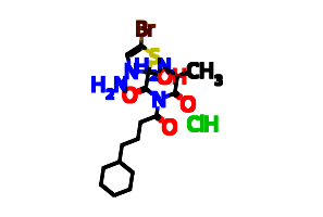 C[C@H](N)C(=O)N(C(=O)CCCC1CCCCC1)C(=O)C1(O)SC(Br)=CN1N.Cl